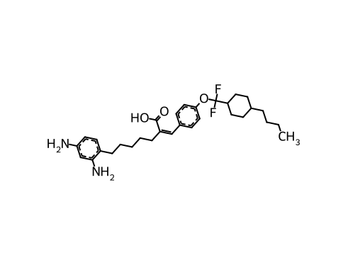 CCCCC1CCC(C(F)(F)Oc2ccc(C=C(CCCCCc3ccc(N)cc3N)C(=O)O)cc2)CC1